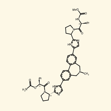 COC(=O)N[C@H](C(=O)N1CCCC1c1ncc(-c2ccc3c(c2)CN(C)Cc2cc(-c4cnc([C@@H]5CCCN5C(=O)[C@@H](OC(N)=O)C(C)C)[nH]4)ccc2-3)[nH]1)C(C)C